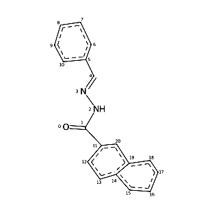 O=C(NN=Cc1ccccc1)c1ccc2ccccc2c1